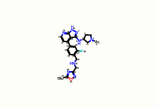 CC(=O)N1CC[C@H](Nc2n[nH]c3nccc(-c4ccc(CNCc5noc(C(C)(C)C)n5)c(F)c4)c23)C1